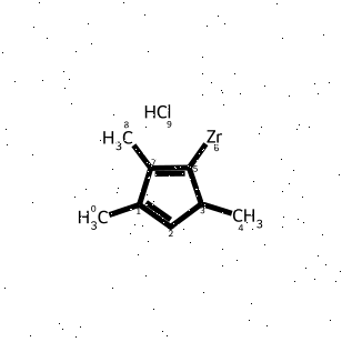 CC1=CC(C)[C]([Zr])=C1C.Cl